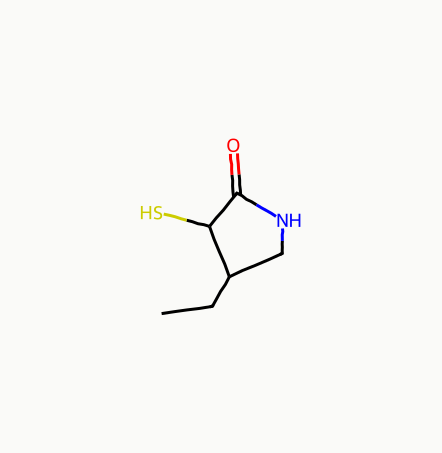 CCC1CNC(=O)C1S